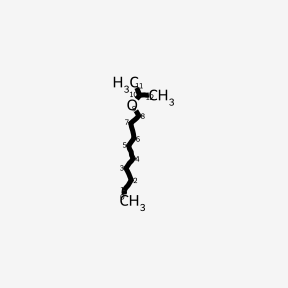 CCCCCCCCCOC(C)C